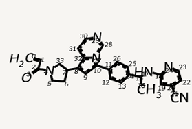 C=CC(=O)N1CCC(c2cc(-c3ccc(C(C)Nc4cc(C#N)ccn4)cc3)n3cnccc23)C1